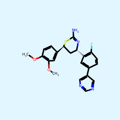 COc1ccc([C@@H]2C[C@@H](c3cc(-c4cncnc4)ccc3F)N=C(N)S2)cc1OC